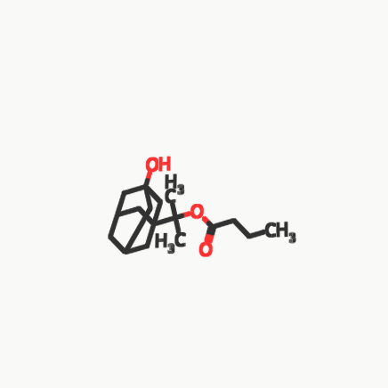 CCCC(=O)OC(C)(C)C12CC3CC(CC(O)(C3)C1)C2